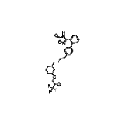 O=C(CO[C]1CCCC(CCCCc2ccc(-c3ccccc3-c3noc(=O)[nH]3)cc2)C1)C(F)(F)F